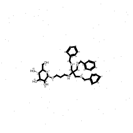 OCC1O[C@@H](OCCCNC(COCc2ccccc2)(COCc2ccccc2)COCc2ccccc2)C(O)C(O)[C@@H]1O